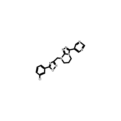 Clc1cccc(-c2nc(CN3CCCn4c(-c5cncnc5)nnc43)no2)c1